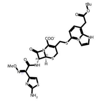 CO/N=C(\C(=O)N[C@@H]1C(=O)N2C(C(=O)[O-])=C(CSc3ccc(CC(=O)OC(C)(C)C)c4[nH]cc[n+]34)CS[C@@H]12)c1csc(N)n1